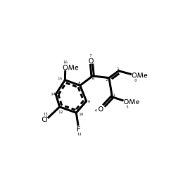 COC=C(C(=O)OC)C(=O)c1cc(F)c(Cl)cc1OC